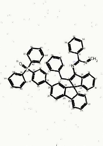 C=N/C(=N\C1=C(Cc2ccccc2)C2(c3ccccc31)c1ccccc1-c1ccc(-c3ccc(P(=O)(c4ccccc4)c4ccccc4)cc3)cc12)c1ccccc1